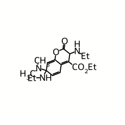 CCNC1C(=O)OC2=CC(NCC)(N(C)C)C=CC2=C1C(=O)OCC